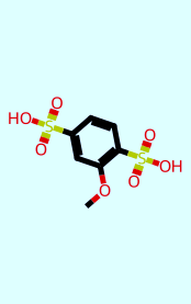 COc1cc(S(=O)(=O)O)ccc1S(=O)(=O)O